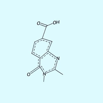 Cc1nc2cc(C(=O)O)ccc2c(=O)n1C